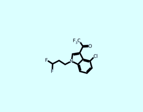 O=C(c1cn(CCC(F)F)c2cccc(Cl)c12)C(F)(F)F